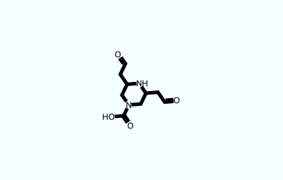 O=CCC1CN(C(=O)O)CC(CC=O)N1